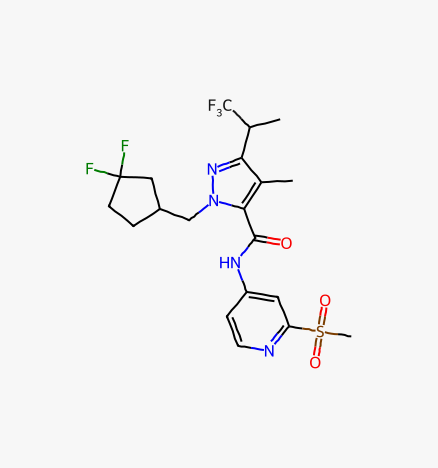 Cc1c(C(C)C(F)(F)F)nn(CC2CCC(F)(F)C2)c1C(=O)Nc1ccnc(S(C)(=O)=O)c1